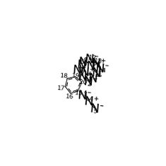 [N-]=[N+]=[N-].[N-]=[N+]=[N-].[N-]=[N+]=[N-].[N-]=[N+]=[N-].[N-]=[N+]=[N-].c1ccccc1